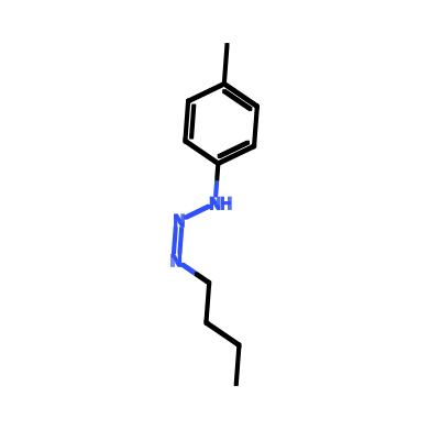 CCCC/N=N\Nc1ccc(C)cc1